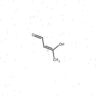 C/C(O)=C/C=O